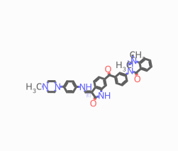 CN1CCN(c2ccc(N/C=C3/C(=O)Nc4cc(C(=O)c5cccc(NC(=O)c6ccccc6N(C)C)c5)ccc43)cc2)CC1